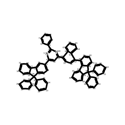 c1ccc(-c2nc(-c3ccc4c(c3)-c3ccccc3C4(c3ccccc3)c3ccccc3)cc(-c3ccc(-c4cccc5c4-c4ccccc4C5(c4ccccc4)c4ccccc4)c4ccccc34)n2)cc1